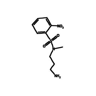 CN(CCCN)S(=O)(=O)c1ccccc1[N+](=O)[O-]